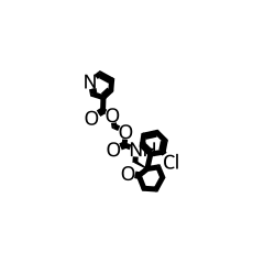 O=C(NC[C@@]1(c2ccccc2Cl)CCCCC1=O)OCOC(=O)c1cccnc1